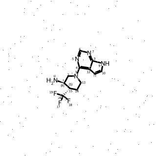 N[C@H]1CN(c2ncnc3[nH]ccc23)CC[C@@H]1C(F)(F)F